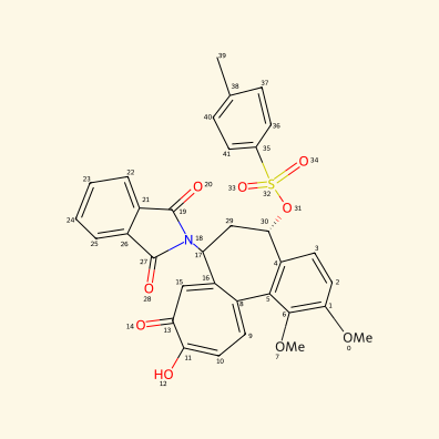 COc1ccc2c(c1OC)-c1ccc(O)c(=O)cc1C(N1C(=O)c3ccccc3C1=O)C[C@@H]2OS(=O)(=O)c1ccc(C)cc1